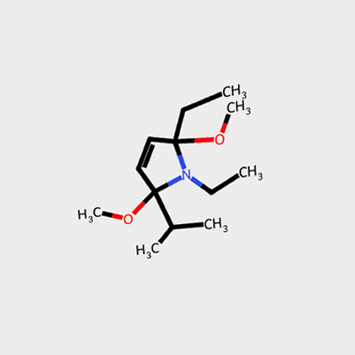 CCN1C(CC)(OC)C=CC1(OC)C(C)C